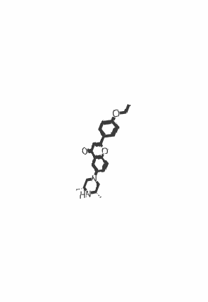 CCOc1ccc(-c2cc(=O)c3cc(N4C[C@@H](C)N[C@@H](C)C4)ccc3o2)cc1